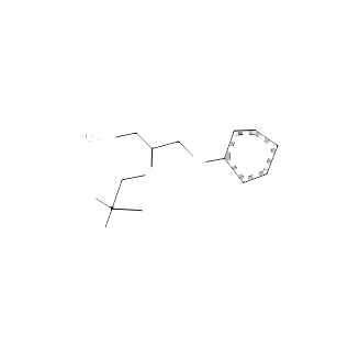 CCC(C)(C)COC(COC)COc1ccccc1